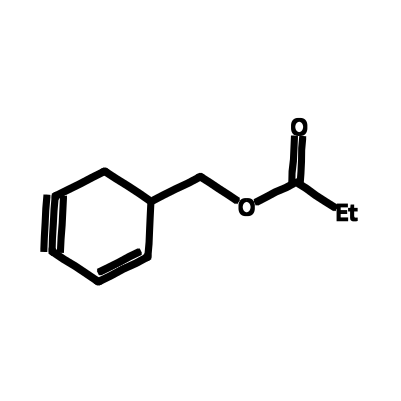 CCC(=O)OCC1C=CC#CC1